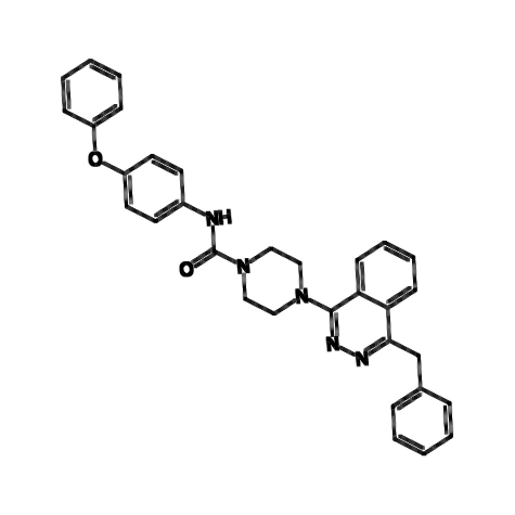 O=C(Nc1ccc(Oc2ccccc2)cc1)N1CCN(c2nnc(Cc3ccccc3)c3ccccc23)CC1